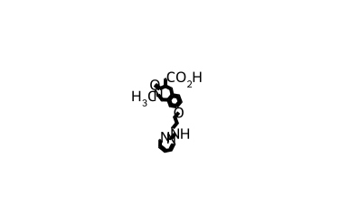 CN1Cc2cc(OCCCNN3C=CC=CC=N3)ccc2CC(CC(=O)O)C1=O